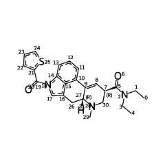 CCN(CC)C(=O)[C@@H]1C=C2c3cccc4c3c(cn4C(=O)c3cccs3)C[C@H]2N(C)C1